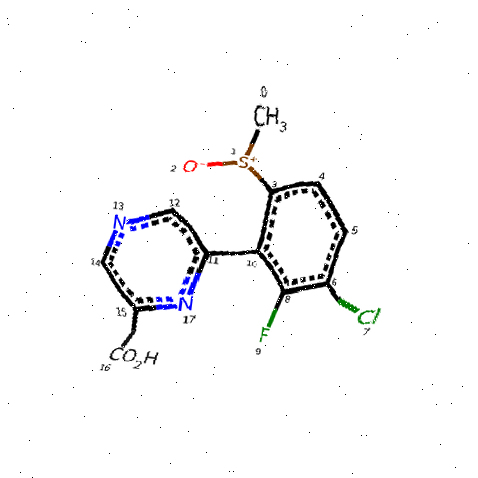 C[S+]([O-])c1ccc(Cl)c(F)c1-c1cncc(C(=O)O)n1